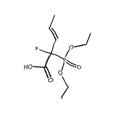 CC=CC(F)(C(=O)O)P(=O)(OCC)OCC